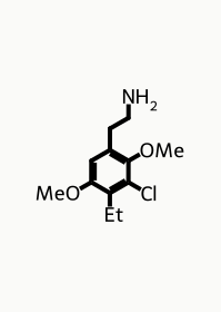 CCc1c(OC)cc(CCN)c(OC)c1Cl